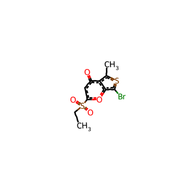 CCS(=O)(=O)c1cc(=O)c2c(C)sc(Br)c2o1